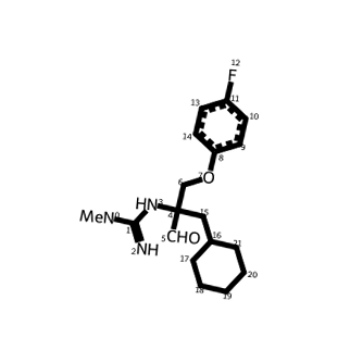 CNC(=N)NC(C=O)(COc1ccc(F)cc1)CC1CCCCC1